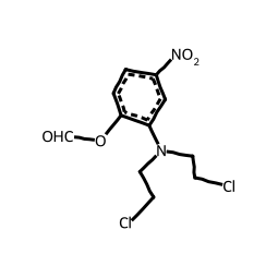 O=COc1ccc([N+](=O)[O-])cc1N(CCCl)CCCl